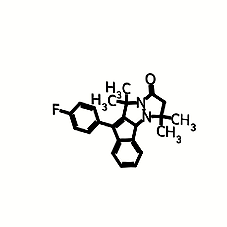 CC1(C)CC(=O)N2N1C1C(=C(c3ccc(F)cc3)c3ccccc31)C2(C)C